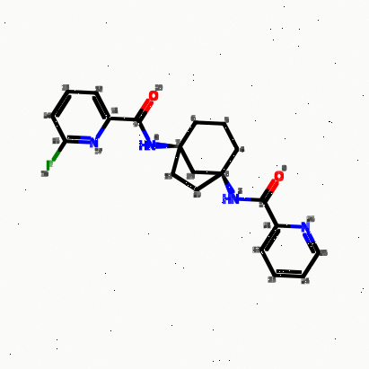 O=C(N[C@@]12CCC[C@@](NC(=O)c3cccc(F)n3)(CC1)C2)c1ccccn1